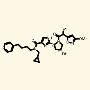 COc1cc(C(C(=O)N2C[C@H](O)C[C@H]2c2nc(C(=O)N(CCCCc3ccncc3)CC3CC3)c[nH]2)C(C)C)on1